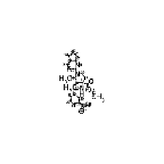 CCOC(=O)C1(NCc2cccc([N+](=O)[O-])c2)CCN(c2ncc3ccsc3n2)C(C)C1C